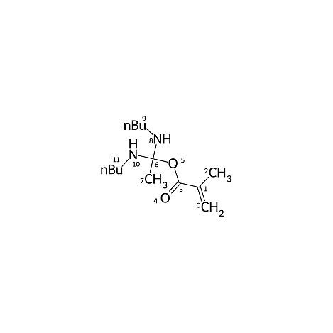 C=C(C)C(=O)OC(C)(NCCCC)NCCCC